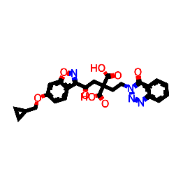 O=C(CC(CCn1nnc2ccccc2c1=O)(C(=O)O)C(=O)O)c1noc2cc(OCC3CC3)ccc12